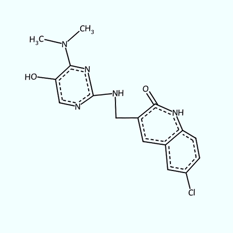 CN(C)c1nc(NCc2cc3cc(Cl)ccc3[nH]c2=O)ncc1O